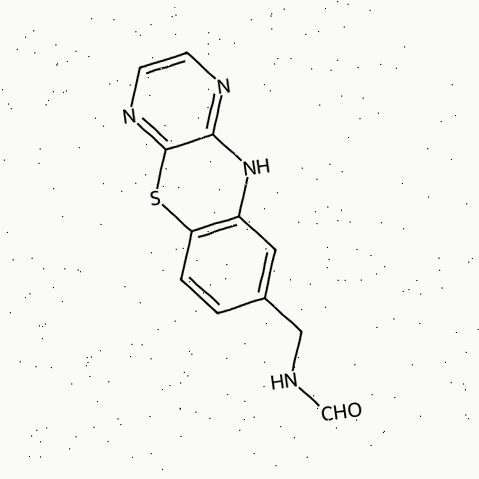 O=CNCc1ccc2c(c1)Nc1nccnc1S2